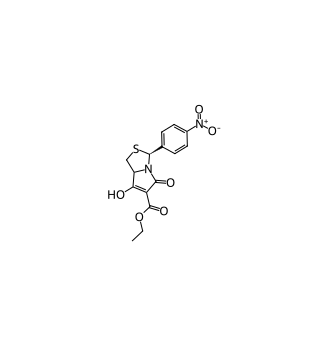 CCOC(=O)C1=C(O)C2CS[C@@H](c3ccc([N+](=O)[O-])cc3)N2C1=O